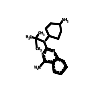 CC(C)(C)N(c1nc(N)c2ccccc2n1)C1CCC(N)CC1